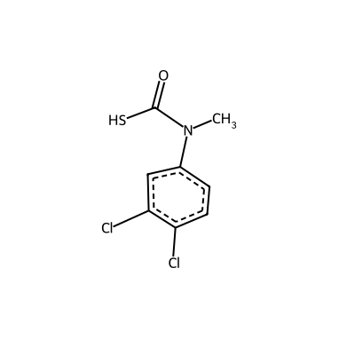 CN(C(=O)S)c1ccc(Cl)c(Cl)c1